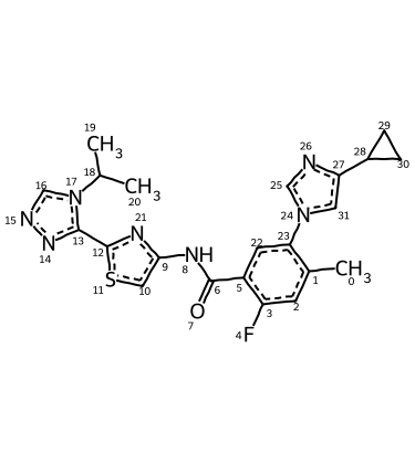 Cc1cc(F)c(C(=O)Nc2csc(-c3nncn3C(C)C)n2)cc1-n1cnc(C2CC2)c1